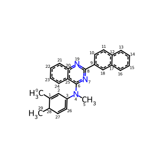 CC1=CC(N(C)c2nc(-c3ccc4ccccc4c3)nc3ccccc23)=C=CC1C